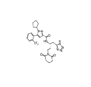 O=C(N[C@@H](CCN1C(=O)CCCC1=O)Cc1nnn[nH]1)c1cc(-c2ccccc2C(F)(F)F)n(C2CCCC2)n1